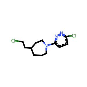 ClCCC1CCCN(c2ccc(Cl)nn2)CC1